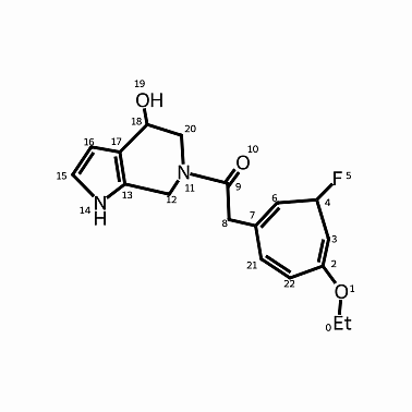 CCOC1=CC(F)C=C(CC(=O)N2Cc3[nH]ccc3C(O)C2)C=C1